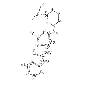 CC(=O)N1CCCC(Oc2cc(F)cc(NC(=O)Nc3cccnc3)c2)C1